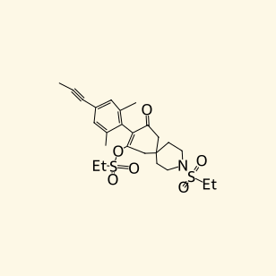 CC#Cc1cc(C)c(C2=C(OS(=O)(=O)CC)CC3(CCN(S(=O)(=O)CC)CC3)CC2=O)c(C)c1